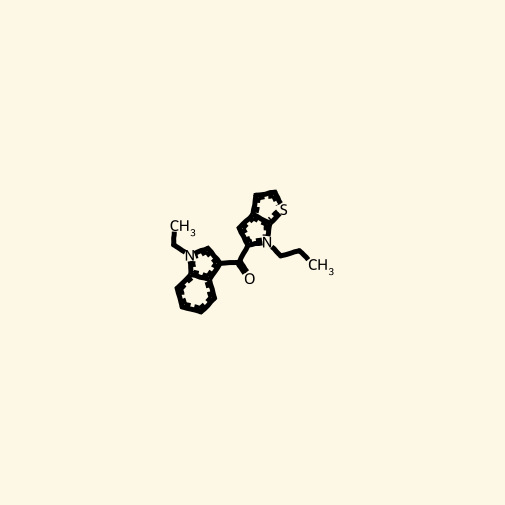 CCCn1c(C(=O)c2cn(CC)c3ccccc23)cc2ccsc21